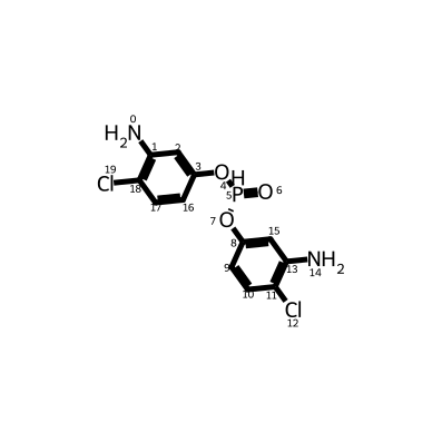 Nc1cc(O[PH](=O)Oc2ccc(Cl)c(N)c2)ccc1Cl